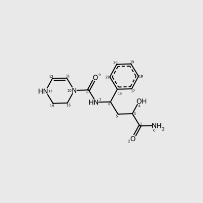 NC(=O)C(O)CC(NC(=O)N1C=CNCC1)c1ccccc1